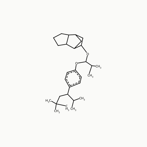 CC(C)C(Oc1ccc(C(CC(C)(C)C)C(C)C)cc1)OC1CC2CC1C1CCCC21